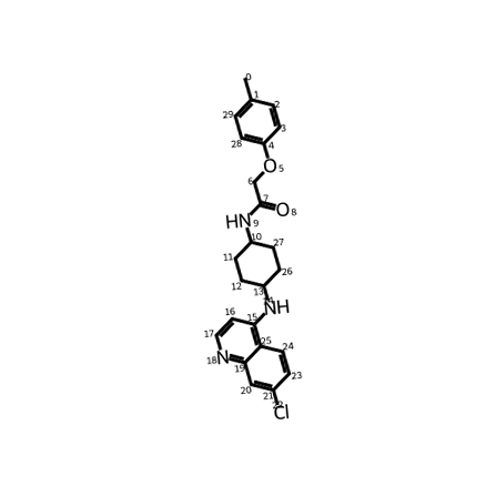 Cc1ccc(OCC(=O)NC2CCC(Nc3ccnc4cc(Cl)ccc34)CC2)cc1